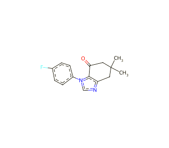 CC1(C)CC(=O)c2c(ncn2-c2ccc(F)cc2)C1